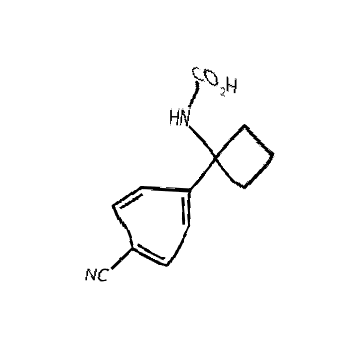 N#Cc1ccc(C2(NC(=O)O)CCC2)cc1